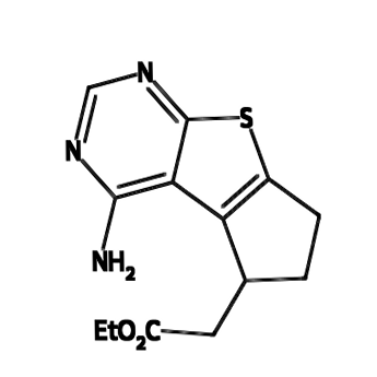 CCOC(=O)CC1CCc2sc3ncnc(N)c3c21